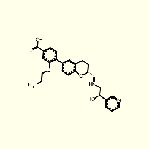 CCCOc1cc(C(=O)O)ccc1-c1ccc2c(c1)CC[C@H](CNC[C@H](O)c1cccnc1)O2